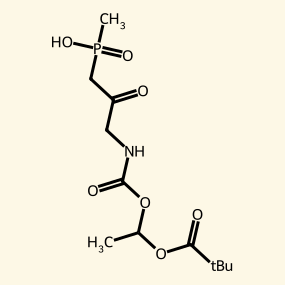 CC(OC(=O)NCC(=O)CP(C)(=O)O)OC(=O)C(C)(C)C